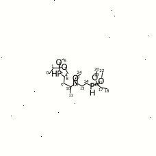 CCC(OC)(OC)PCCC(C)N(CCPC(CC)(OC)OC)OC